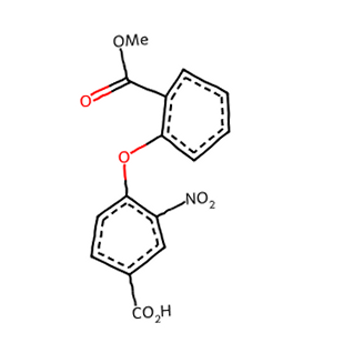 COC(=O)c1ccccc1Oc1ccc(C(=O)O)cc1[N+](=O)[O-]